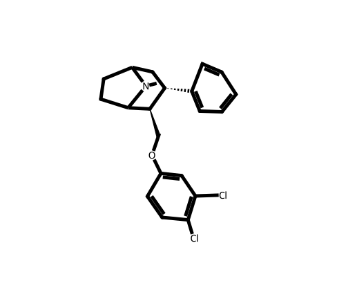 CN1C2CCC1[C@H](COc1ccc(Cl)c(Cl)c1)[C@@H](c1ccccc1)C2